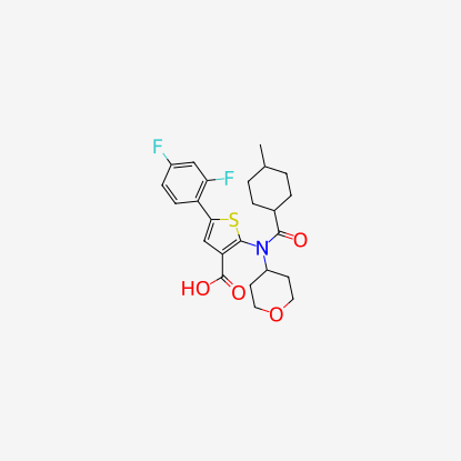 CC1CCC(C(=O)N(c2sc(-c3ccc(F)cc3F)cc2C(=O)O)C2CCOCC2)CC1